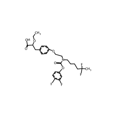 CCOC(Cc1ccc(OCCN(CCCCC(C)(F)F)C(=O)Oc2ccc(F)c(F)c2)cc1)C(=O)O